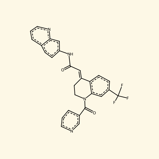 O=C(/C=C1\CCN(C(=O)c2cccnc2)c2cc(C(F)(F)F)ccc21)Nc1ccc2cccnc2c1